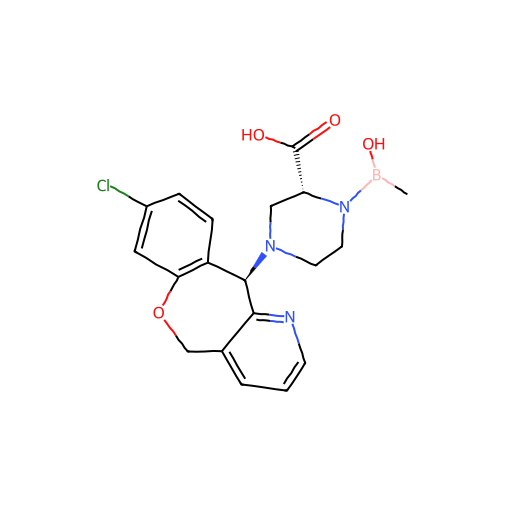 CB(O)N1CCN([C@@H]2c3ccc(Cl)cc3OCc3cccnc32)C[C@@H]1C(=O)O